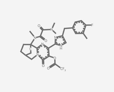 Cc1cc(Cc2c[nH]c(-c3nc4n(c(=O)c3OC(=O)C(F)(F)F)CC3CCC4(N(C)C(=O)C(=O)N(C)C)CC3)n2)ccc1F